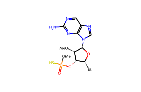 CC[C@H]1O[C@@H](n2cnc3cnc(N)nc32)[C@@H](OC)[C@H]1OP(=O)(S)OC